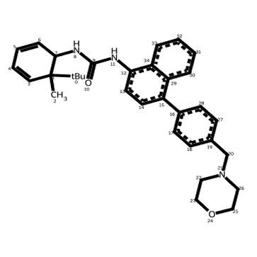 CC(C)(C)C1(C)C=CC=CC1NC(=O)Nc1ccc(-c2ccc(CN3CCOCC3)cc2)c2ccccc12